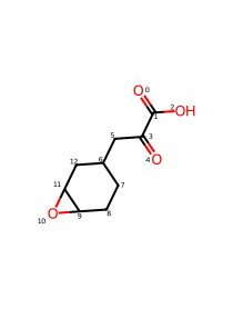 O=C(O)C(=O)CC1CCC2OC2C1